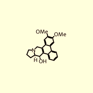 COc1cc2c3c(c4ccccc4c2cc1OC)[C@@H](O)[C@H]1CCCN1C3